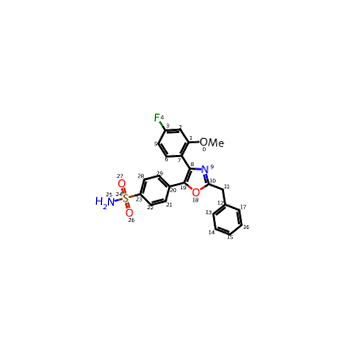 COc1cc(F)ccc1-c1nc(Cc2ccccc2)oc1-c1ccc(S(N)(=O)=O)cc1